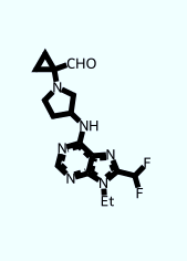 CCn1c(C(F)F)nc2c(NC3CCN(C4(C=O)CC4)C3)ncnc21